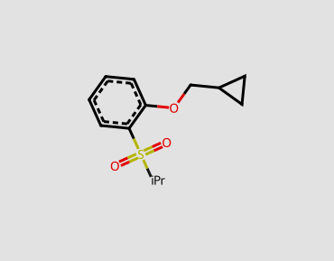 CC(C)S(=O)(=O)c1ccccc1OCC1CC1